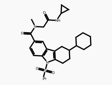 CC(C)S(=O)(=O)n1c2c(c3cc(C(=O)N(C)CC(=O)NC4CC4)ccc31)CC(C1CCCCC1)CC2